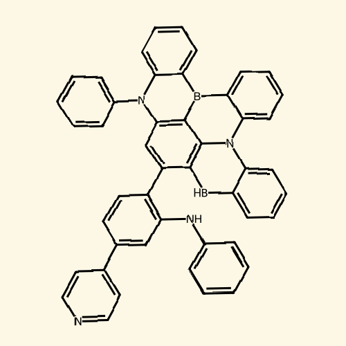 B1c2ccccc2N2c3ccccc3B3c4ccccc4N(c4ccccc4)c4cc(-c5ccc(-c6ccncc6)cc5Nc5ccccc5)c1c2c43